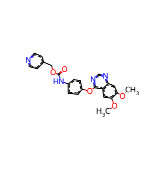 COc1cc2ncnc(Oc3ccc(NC(=O)OCc4ccncc4)cc3)c2cc1OC